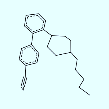 CCCCCC1CCC(c2ccccc2-c2ccc(C#N)cc2)CC1